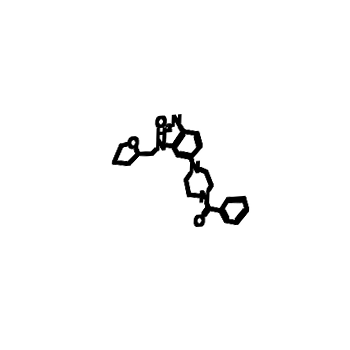 O=C(c1ccccc1)N1CCN(c2ccc([N+](=O)[O-])c(NCC3CCCO3)c2)CC1